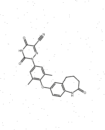 Cc1cc(-n2nc(C#N)c(=O)[nH]c2=O)cc(C)c1Oc1ccc2c(c1)CCCC(=O)N2